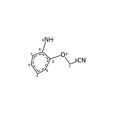 N#CCOc1ccccc1[NH]